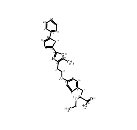 CCO[C@@H](Cc1ccc(OCCc2nc(-c3ccc(-c4ccccc4)s3)oc2C)cc1)C(=O)O